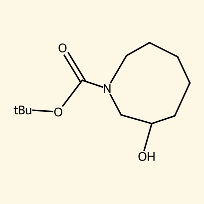 CC(C)(C)OC(=O)N1CCCCCC(O)C1